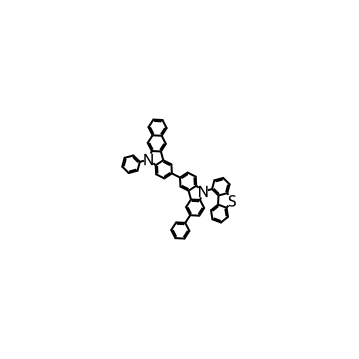 c1ccc(-c2ccc3c(c2)c2cc(-c4ccc5c(c4)c4cc6ccccc6cc4n5-c4ccccc4)ccc2n3-c2cccc3sc4ccccc4c23)cc1